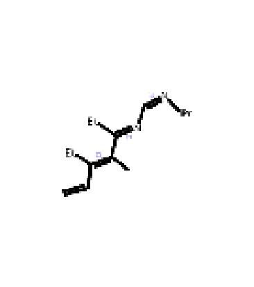 C=C/C(CC)=C(C)/C(CC)=N/C=N\C(C)C